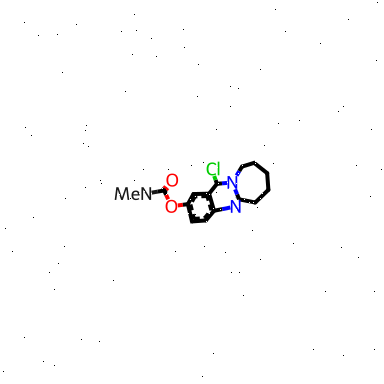 CNC(=O)Oc1ccc2c(c1)C(Cl)N1CCCCCC1=N2